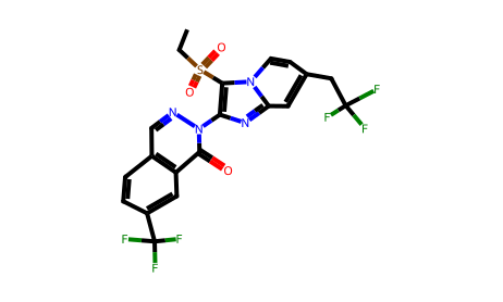 CCS(=O)(=O)c1c(-n2ncc3ccc(C(F)(F)F)cc3c2=O)nc2cc(CC(F)(F)F)ccn12